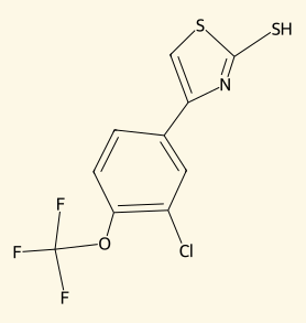 FC(F)(F)Oc1ccc(-c2csc(S)n2)cc1Cl